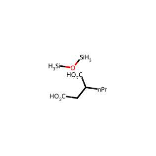 CCCC(CC(=O)O)C(=O)O.[SiH3]O[SiH3]